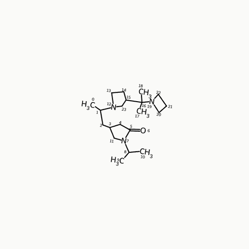 CC(CC1CC(=O)N(C(C)C)C1)N1CCC(C(C)(C)N2CCC2)C1